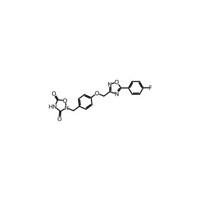 O=c1[nH]c(=O)n(Cc2ccc(OCc3noc(-c4ccc(F)cc4)n3)cc2)o1